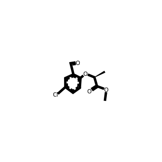 COC(=O)[C@H](C)Oc1ccc(Cl)cc1C=O